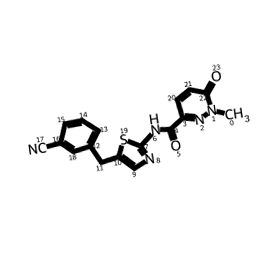 Cn1nc(C(=O)Nc2ncc(Cc3cccc(C#N)c3)s2)ccc1=O